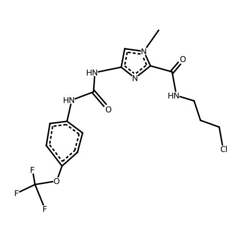 Cn1cc(NC(=O)Nc2ccc(OC(F)(F)F)cc2)nc1C(=O)NCCCCl